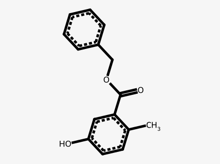 Cc1ccc(O)cc1C(=O)OCc1ccccc1